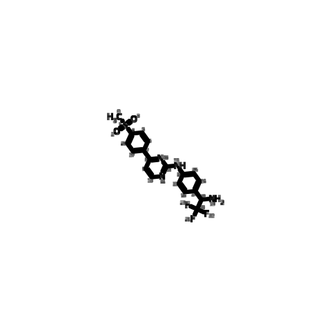 CS(=O)(=O)c1ccc(-c2ccnc(Nc3ccc(C(N)C(F)(F)F)cc3)n2)cc1